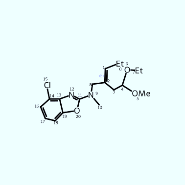 CC/C=C(\CC(OC)OCC)CN(C)c1nc2c(Cl)cccc2o1